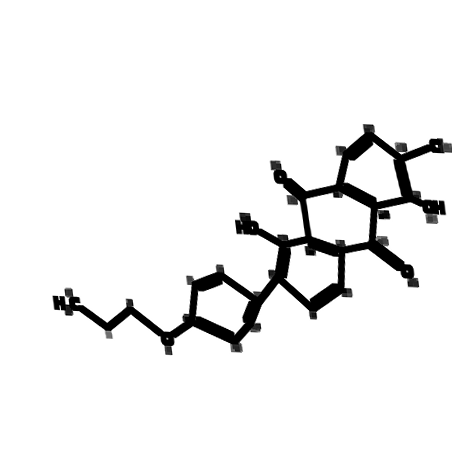 CCCOc1ccc(-c2ccc3c(c2O)C(=O)c2ccc(Cl)c(O)c2C3=O)cc1